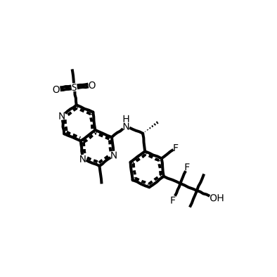 Cc1nc(N[C@H](C)c2cccc(C(F)(F)C(C)(C)O)c2F)c2cc(S(C)(=O)=O)ncc2n1